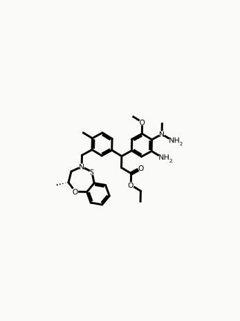 CCOC(=O)CC(c1ccc(C)c(CN2C[C@@H](C)Oc3ccccc3S2)c1)c1cc(N)c(N(C)N)c(OC)c1